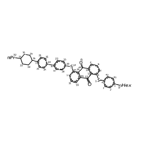 CCCCCCc1ccc(Sc2cccc3c2C(=O)c2cccc(Sc4ccc(-c5ccc(C6CCC(CCC)CC6)cc5)cc4)c2C3=O)cc1